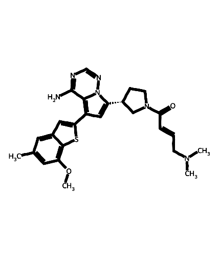 COc1cc(C)cc2cc(-c3cc([C@@H]4CCN(C(=O)/C=C/CN(C)C)C4)n4ncnc(N)c34)sc12